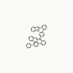 c1ccc(-c2ccc(-c3ccccc3N(c3ccc(-c4ccccc4-c4cc5ccccc5o4)cc3)c3ccc4ccccc4c3)cc2)cc1